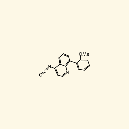 COc1ccccc1-c1cccc2c(N=C=O)ccnc12